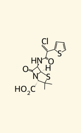 CC1(C)S[C@@H]2[C@H](NC(=O)C(=CCl)c3cccs3)C(=O)N2[C@H]1C(=O)O